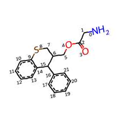 NCC(=O)OCC1CSc2ccccc2C1c1ccccc1